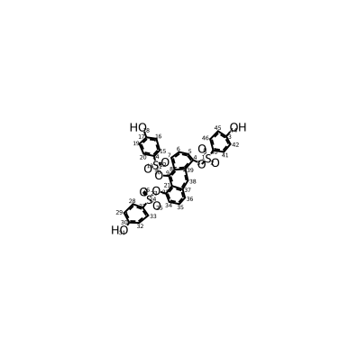 O=S(=O)(Oc1cccc2c(OS(=O)(=O)c3ccc(O)cc3)c3c(OS(=O)(=O)c4ccc(O)cc4)cccc3cc12)c1ccc(O)cc1